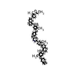 C=CC(=O)N1CCN(c2ncc3ncnc(Nc4ccc(Oc5ccn6nc(/C=C\C(=O)N7CCN(c8ncc9ncnc(Nc%10cc(C)c(Oc%11ccn%12ncnc%12c%11)cc%10F)c9n8)[C@@H](C)C7)nc6c5)c(C)c4F)c3n2)C[C@@H]1C